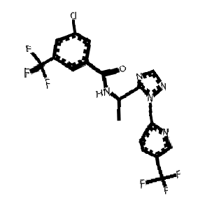 CC(NC(=O)c1cc(Cl)cc(C(F)(F)F)c1)c1ncnn1-c1ccc(C(F)(F)F)cn1